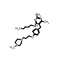 CCCCCNc1nc(N)nc(C)c1Cc1ccc(OCCCN2CCN(C)CC2)cc1